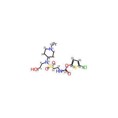 CC(C)N1CCC(N(CCO)S(=O)(=O)CCNC(=O)Oc2ccc(Cl)s2)CC1